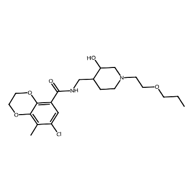 CCCOCCN1CCC(CNC(=O)c2cc(Cl)c(C)c3c2OCCO3)C(O)C1